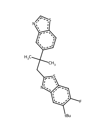 CC(C)(C)c1cc2nc(CC(C)(C)c3ccc4scnc4c3)sc2cc1F